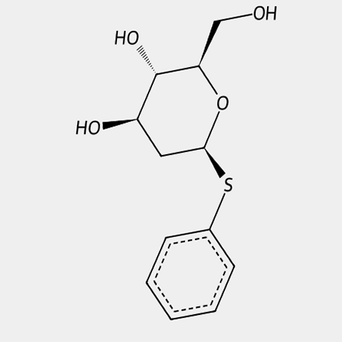 OC[C@H]1O[C@@H](Sc2ccccc2)C[C@@H](O)[C@@H]1O